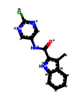 Cc1c(C(=O)Nc2cnc(Cl)nc2)[nH]c2ccccc12